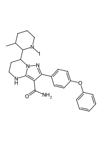 CC1CCCN(I)C1C1CCNc2c(C(N)=O)c(-c3ccc(Oc4ccccc4)cc3)nn21